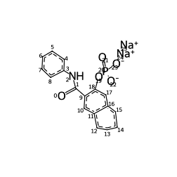 O=C(Nc1ccccc1)c1cc2ccccc2cc1OP(=O)([O-])[O-].[Na+].[Na+]